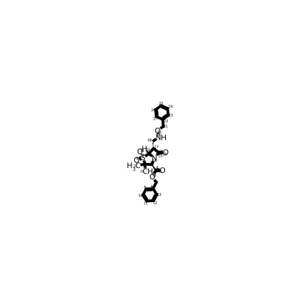 CC1(C)[C@H](C(=O)OCc2ccccc2)N2C(=O)[C@@H](CNOCc3ccccc3)[C@H]2S1(=O)=O